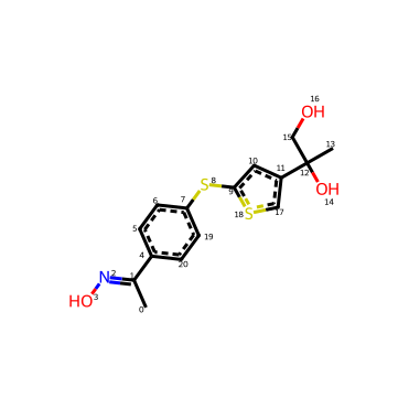 C/C(=N\O)c1ccc(Sc2cc(C(C)(O)CO)cs2)cc1